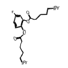 CC(C)CCCCC(=O)Oc1ccc(F)cc1OC(=O)CCCCC(C)C